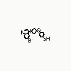 Sc1ccc(OC2CCN(c3ccnc4ccc(Br)cc34)CC2)cc1